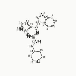 c1ccc2c(c1)ncn2-c1nc(NCC2CCOCC2)nc2[nH]cnc12